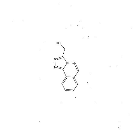 OCc1nnc2c3ccccc3cnn12